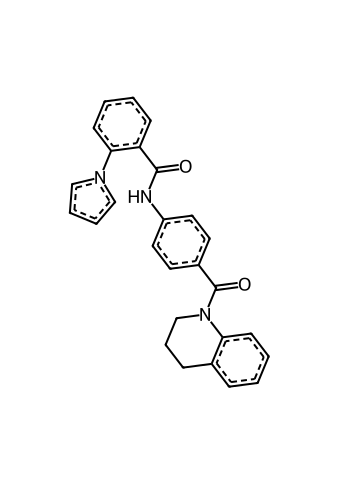 O=C(Nc1ccc(C(=O)N2CCCc3ccccc32)cc1)c1ccccc1-n1cccc1